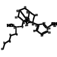 CCCCCC(O)CC12CC3CC(C1)CC(c1cccc(O)c1)(C3)C2